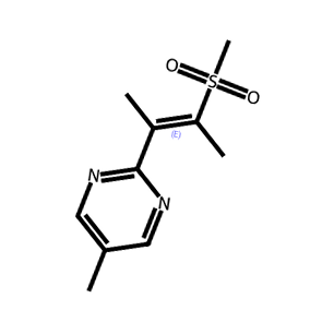 C/C(=C(/C)S(C)(=O)=O)c1ncc(C)cn1